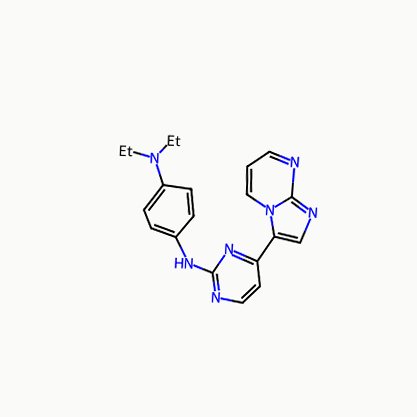 CCN(CC)c1ccc(Nc2nccc(-c3cnc4ncccn34)n2)cc1